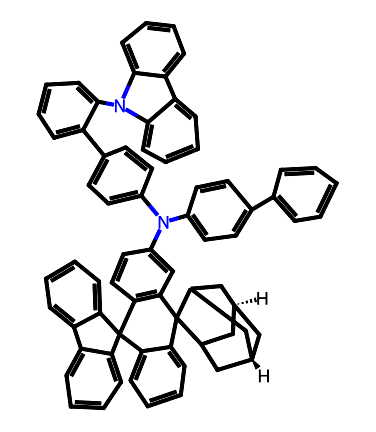 c1ccc(-c2ccc(N(c3ccc(-c4ccccc4-n4c5ccccc5c5ccccc54)cc3)c3ccc4c(c3)C3(c5ccccc5C45c4ccccc4-c4ccccc45)C4C[C@H]5CC3C[C@@H](C4)C5)cc2)cc1